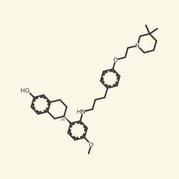 COc1ccc([C@@H]2CCc3cc(O)ccc3C2)c(NCCCc2ccc(OCCN3CCCC(C)(C)C3)cc2)c1